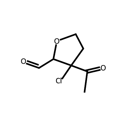 CC(=O)C1(Cl)CCOC1C=O